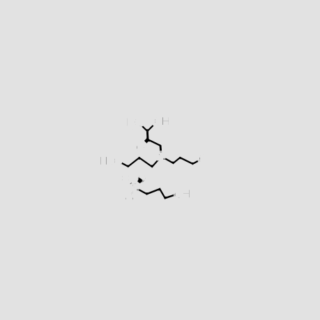 CCCCS(=O)(=O)[O-].CCCC[S+](CCCC)CC(=O)C(C)C